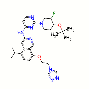 BC(B)(B)OC1CCN(c2nccc(Nc3cc4c(C(C)C)ccc(OCCn5cnnc5)c4cn3)n2)CC1F